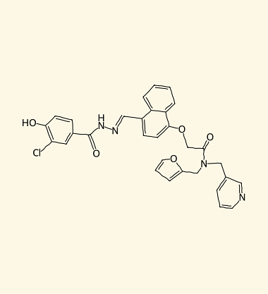 O=C(N/N=C/c1ccc(OCC(=O)N(Cc2cccnc2)Cc2ccco2)c2ccccc12)c1ccc(O)c(Cl)c1